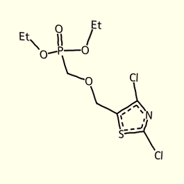 CCOP(=O)(COCc1sc(Cl)nc1Cl)OCC